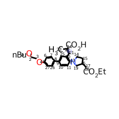 CCCCOCCOc1ccc(-c2ccc(N3CCC(CC(=O)OCC)C3)c(/C=C(\C)C(=O)O)c2)cc1